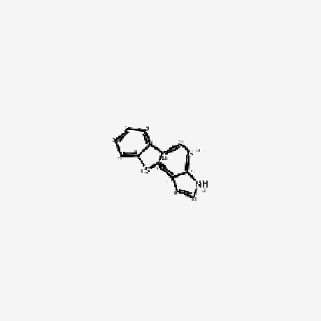 c1ccc2c(c1)sc1c3cc[nH]c3ncc21